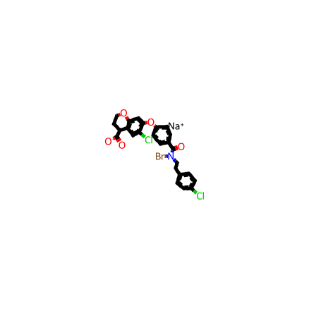 O=C([O-])C1CCOc2cc(Oc3ccc(C(=O)N(Br)CCc4ccc(Cl)cc4)cc3)c(Cl)cc21.[Na+]